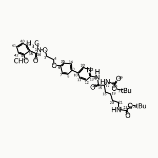 CN(OCCOc1ccc(-c2ccc(NC(=O)C(CCCCNC(=O)OC(C)(C)C)NC(=O)OC(C)(C)C)nc2)cc1)C(=O)c1ccccc1C=O